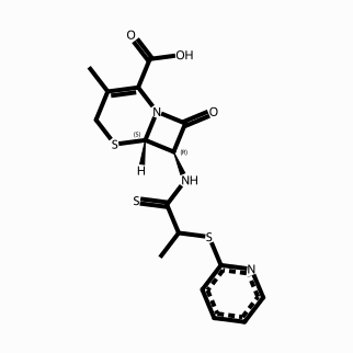 CC1=C(C(=O)O)N2C(=O)[C@@H](NC(=S)C(C)Sc3ccccn3)[C@@H]2SC1